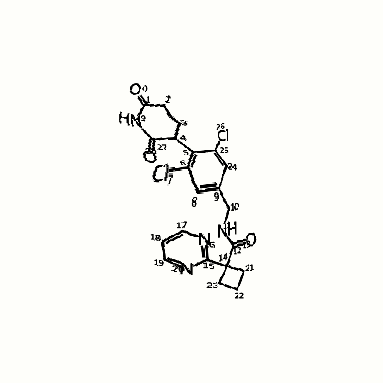 O=C1CCC(c2c(Cl)cc(CNC(=O)C3(c4ncccn4)CCC3)cc2Cl)C(=O)N1